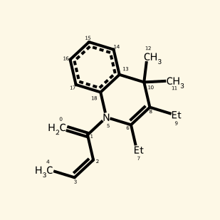 C=C(/C=C\C)N1C(CC)=C(CC)C(C)(C)c2ccccc21